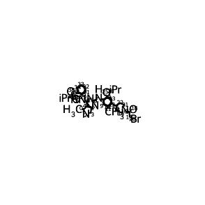 CC1=NCc2nc(Nc3cc(C)c(C4CCN(C(=O)CBr)CC4)cc3OC(C)C)nc(Nc3ccccc3S(=O)(=O)C(C)C)c21